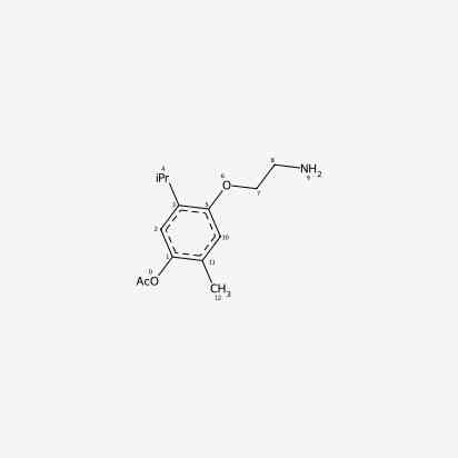 CC(=O)Oc1cc(C(C)C)c(OCCN)cc1C